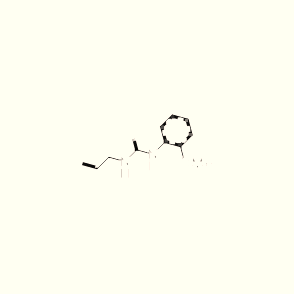 C=CCNC(=S)Nc1ccccc1OC